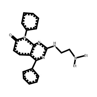 CCN(CC)CCNc1nc(-c2ccccc2)c2ccc(=O)n(-c3ccccc3)c2n1